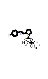 CC(C)(C)OC(=O)N1CCCC1/C=C/c1ccc(F)cc1